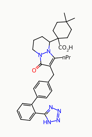 CCCc1c(Cc2ccc(-c3ccccc3-c3nnn[nH]3)cc2)c(=O)n2n1C(C1(C(=O)O)CCC(C)(C)CC1)CCC2